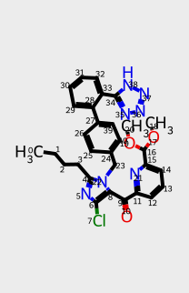 CCCCc1nc(Cl)c(C(=O)c2cccc(C(OC)OC)n2)n1Cc1ccc(-c2ccccc2-c2nnn[nH]2)cc1